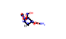 CCC1=C(C)c2cc3[nH]c(cc4nc(c5c6[nH]c(cc1n2)c(C)c6C(=O)N(CCN1CCOCC1)C5=O)[C@@H](CCC(=O)N(C)CCO)[C@@H]4C)c(C)c3/C=C/C(=O)OCCOCCN